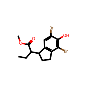 CCC(C(=O)OC)C1CCc2c1cc(Br)c(O)c2Br